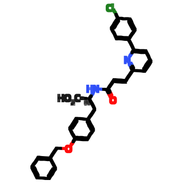 O=C(C=Cc1cccc(-c2ccc(Cl)cc2)n1)N[C@@H](Cc1ccc(OCc2ccccc2)cc1)C(=O)O